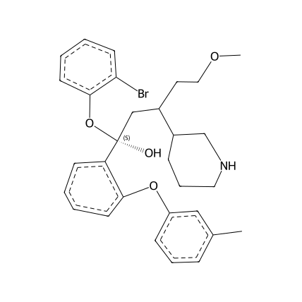 COCCC(C[C@](O)(Oc1ccccc1Br)c1ccccc1Oc1cccc(C)c1)C1CCCNC1